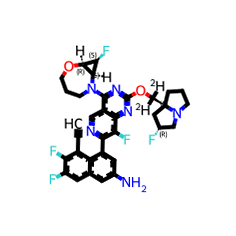 [2H]C([2H])(Oc1nc(N2CCCO[C@H]3[C@@H](F)[C@H]32)c2cnc(-c3cc(N)cc4cc(F)c(F)c(C#C)c34)c(F)c2n1)[C@@]12CCCN1C[C@H](F)C2